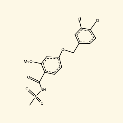 COc1cc(OCc2ccc(Cl)c(Cl)c2)ccc1C(=O)NS(C)(=O)=O